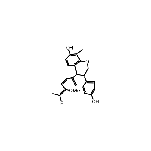 C=C(/C=C\C(OC)=C(/C)F)[C@H]1c2ccc(O)c(C)c2OC[C@H]1c1ccc(O)cc1